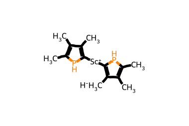 Cc1[pH][c]([Sc+][c]2[pH]c(C)c(C)c2C)c(C)c1C.[H-]